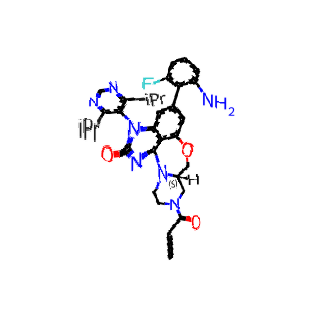 C=CC(=O)N1CCN2c3nc(=O)n(-c4c(C(C)C)ncnc4C(C)C)c4cc(-c5c(N)cccc5F)cc(c34)OC[C@@H]2C1